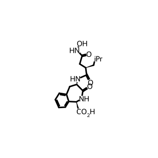 CC(C)C[C@H](CC(=O)NO)C(=O)N[C@H]1Cc2ccccc2[C@H](C(=O)O)NC1=O